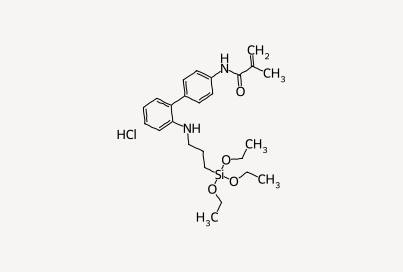 C=C(C)C(=O)Nc1ccc(-c2ccccc2NCCC[Si](OCC)(OCC)OCC)cc1.Cl